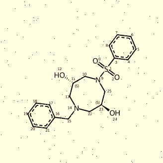 O=S(=O)(c1ccccc1)N1C[C@@H](O)CN(Cc2ccccc2)C[C@H](O)C1